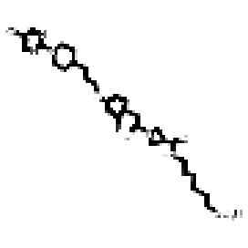 O=C(NCCCCCCS(=O)(=O)O)C1CN(C(=O)Cc2ccc(OCCCC3CCN(c4ncc(Cl)cn4)CC3)cc2F)C1